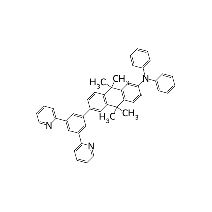 CC1(C)c2ccc(N(c3ccccc3)c3ccccc3)cc2C(C)(C)c2ccc(-c3cc(-c4ccccn4)cc(-c4ccccn4)c3)cc21